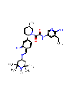 CCc1cc(NC(=O)C(=O)N2C[C@@H](C)CC[C@@H]2C2=CC(=N)/C(=C\NC3CC(C)(C)N(C)C(C)(C)C3)C=C2)cnc1N